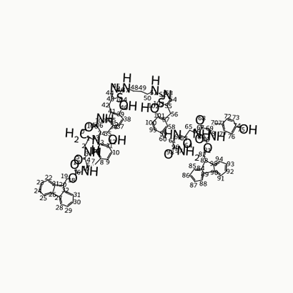 C=C(CNC(=O)[C@H](Cc1ccc(O)cc1)NC(=O)OCC1c2ccccc2-c2ccccc21)N[C@@H](Cc1ccc(O)c(Cc2cnc(NCCCNc3ncc(Cc4cc(C[C@H](NC(=O)CNC(=O)[C@H](Cc5ccc(O)cc5)NC(=O)OCC5c6ccccc6-c6ccccc65)C(N)=O)ccc4O)s3)s2)c1)C(N)=O